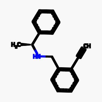 C#Cc1ccccc1CN[C@H](C)c1ccccc1